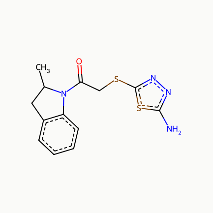 CC1Cc2ccccc2N1C(=O)CSc1nnc(N)s1